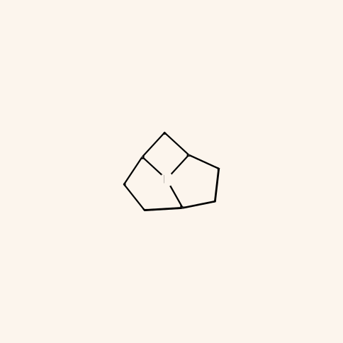 C1CC2CC3CCC1P23